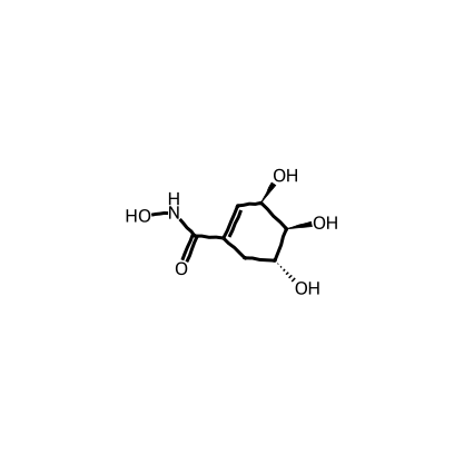 O=C(NO)C1=C[C@@H](O)[C@@H](O)[C@H](O)C1